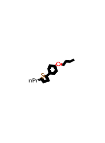 CC=CCOc1ccc(-c2ccc(CCC)s2)cc1